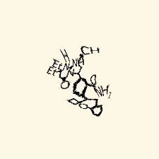 C#CCCC(c1ccc(C2Cc3ccccc3OC23CCC3)c(C(N)=O)c1)N1C(=N)NC(CC)(CC)CC1=O